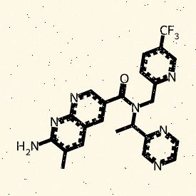 Cc1cc2cc(C(=O)N(Cc3ccc(C(F)(F)F)cn3)C(C)c3cnccn3)cnc2nc1N